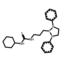 S=C(NCCCP1N(c2ccccc2)CCN1c1ccccc1)NC1CCCCC1